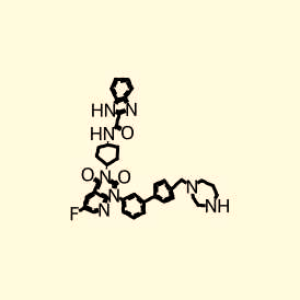 O=C(N[C@H]1CC[C@@H](n2c(=O)c3cc(F)cnc3n(-c3cccc(-c4ccc(CN5CCCNCC5)cc4)c3)c2=O)CC1)c1nc2ccccc2[nH]1